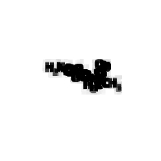 CN(C)c1cc2c(cc1Nc1ccc(S(=O)(=O)c3ccc(N)cc3)cc1)OCO2